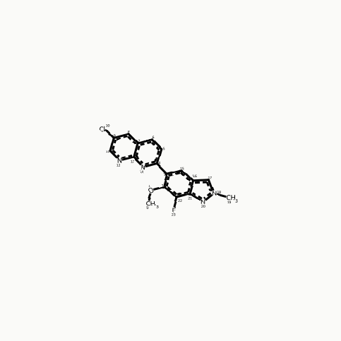 COc1c(-c2ccc3cc(Cl)cnc3n2)cc2cn(C)nc2c1F